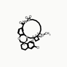 CO[C@@H]1CCCCCS(=O)(=O)NC(=O)c2ccc3c(c2)N(C[C@@H]2CC[C@H]21)C[C@@]1(CCCc2cc(Cl)ccc21)CO3